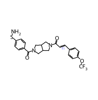 NSc1ccc(C(=O)N2CC3CN(C(=O)/C=C/c4ccc(OC(F)(F)F)cc4)CC3C2)cc1